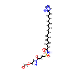 [O]CCOCCNC(=O)CCCS(=O)(=O)NC(=O)CCCCCCCCCCCCCCCc1nnn[nH]1